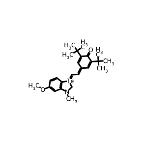 COc1ccc2c(c1)N(C)C[Te]2=CC=C1C=C(C(C)(C)C)C(=O)C(C(C)(C)C)=C1